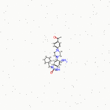 CC(=O)c1ccc(N2CCN(c3cc4c(cc3N)[nH]c(=O)n4CC3CCCCC3)CC2)cc1